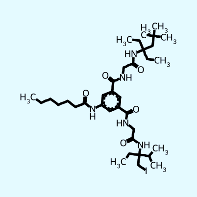 CCCCCCC(=O)Nc1cc(C(=O)NCC(=O)NC(CC)(CC)CC(C)(C)C)cc(C(=O)NCC(=O)NC(CC)(CI)C(C)C)c1